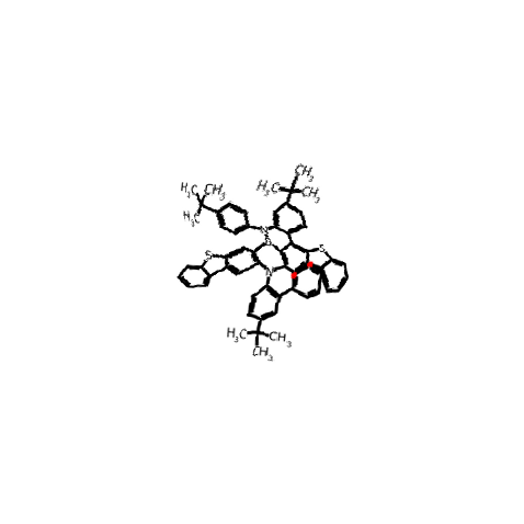 CC(C)(C)c1ccc(N2B3c4cc5sc6ccccc6c5cc4N(c4ccc(C(C)(C)C)cc4-c4ccccc4)c4cc5c(sc6ccccc65)c(c43)-c3ccc(C(C)(C)C)cc32)cc1